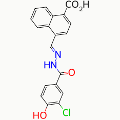 O=C(NN=Cc1ccc(C(=O)O)c2ccccc12)c1ccc(O)c(Cl)c1